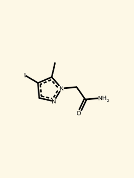 Cc1c(I)cnn1CC(N)=O